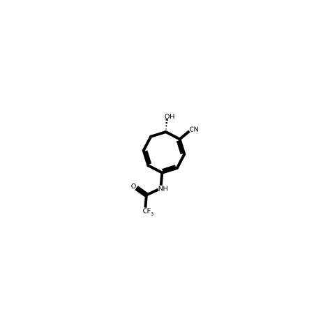 N#C/C1=C/C=C(NC(=O)C(F)(F)F)\C=C/C[C@@H]1O